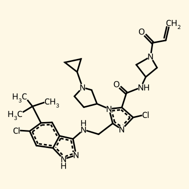 C=CC(=O)N1CC(NC(=O)c2c(Cl)nc(CNc3n[nH]c4cc(Cl)c(C(C)(C)C)cc34)n2C2CCN(C3CC3)C2)C1